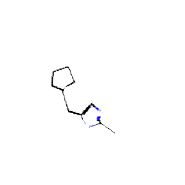 Cc1n[c]c(CC2CCCC2)[nH]1